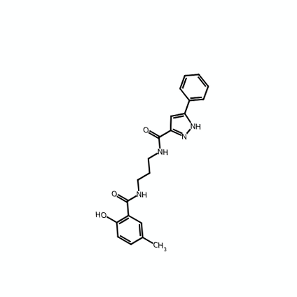 Cc1ccc(O)c(C(=O)NCCCNC(=O)c2cc(-c3ccccc3)[nH]n2)c1